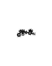 N#Cc1ccc(C2CC(n3nc4n(c3=O)[C@H](c3ccccc3)CC4)C2)c2ccnn12